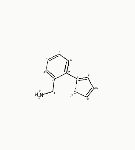 NCc1ccccc1-c1cccs1